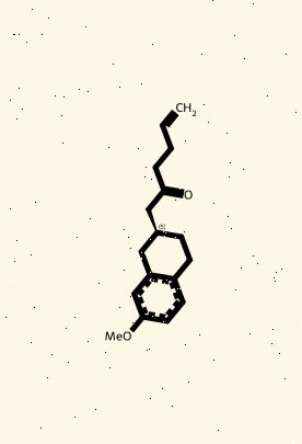 C=CCCC(=O)C[C@H]1CCc2ccc(OC)cc2C1